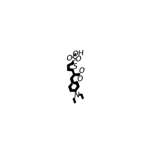 CCN(CC)c1ccc2cc(-c3ccc(S(=O)(=O)O)s3)c(=O)oc2c1